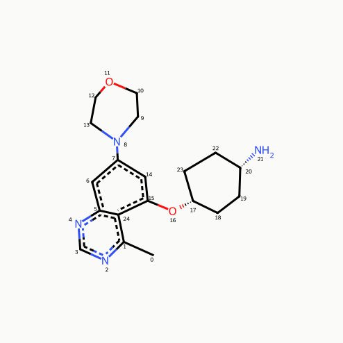 Cc1ncnc2cc(N3CCOCC3)cc(O[C@H]3CC[C@@H](N)CC3)c12